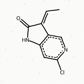 C/C=C1/C(=O)Nc2cc(Cl)ncc21